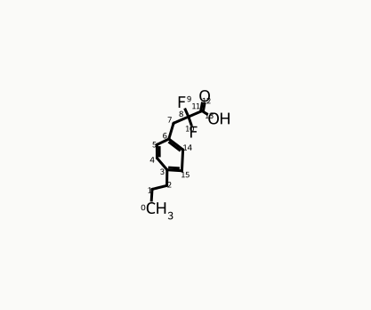 CCCc1ccc(CC(F)(F)C(=O)O)cc1